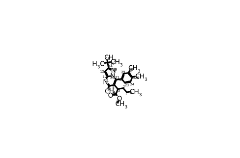 CCCC(C(=O)OC)c1c(C)nc2cc(C(C)(C)C)nn2c1-c1ccc(C)c(C)c1